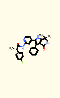 C[C@H](C(=O)Nc1cc(-c2[nH]c3c(c2-c2ccccc2)C(=O)NCC3(C)C)ccn1)c1ccc(F)cc1